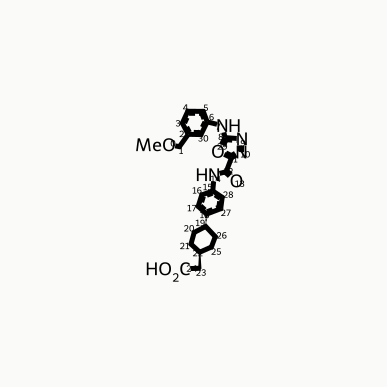 COCc1cccc(Nc2nnc(C(=O)Nc3ccc([C@H]4CC[C@H](CC(=O)O)CC4)cc3)o2)c1